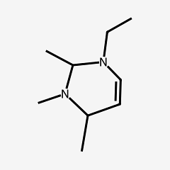 CCN1C=CC(C)N(C)C1C